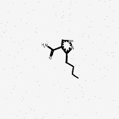 CCCCc1n[nH]cc1C(N)=O